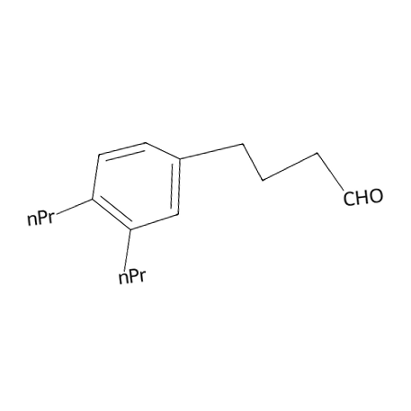 CCCc1ccc(CCCC=O)cc1CCC